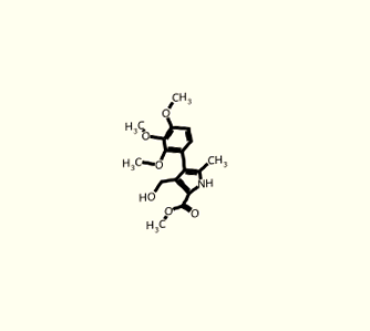 COC(=O)c1[nH]c(C)c(-c2ccc(OC)c(OC)c2OC)c1CO